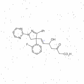 CC(C)C1=NN(c2ncccn2)CC1(/C=C/C(O)CC(=O)CC(=O)O)c1ccccc1F